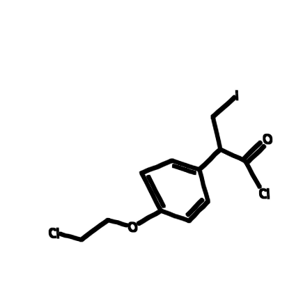 O=C(Cl)C(CI)c1ccc(OCCCl)cc1